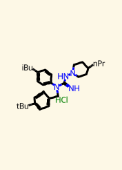 CCCC1CCN(NC(=N)N(Cc2ccc(C(C)(C)C)cc2)c2ccc(C(C)CC)cc2)CC1.Cl